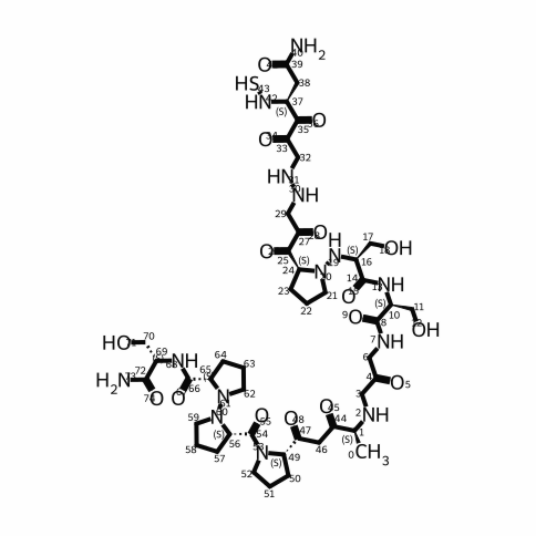 C[C@H](NCC(=O)CNC(=O)[C@H](CO)NC(=O)[C@H](CO)NN1CCC[C@H]1C(=O)C(=O)CNNCC(=O)C(=O)[C@H](CC(N)=O)NS)C(=O)CC(=O)[C@@H]1CCCN1C(=O)[C@@H]1CCCN1N1CCC[C@H]1C(=O)N[C@@H](CO)C(N)=O